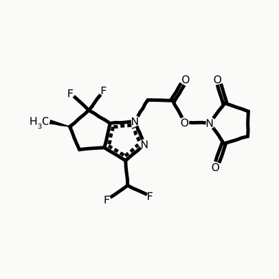 C[C@@H]1Cc2c(C(F)F)nn(CC(=O)ON3C(=O)CCC3=O)c2C1(F)F